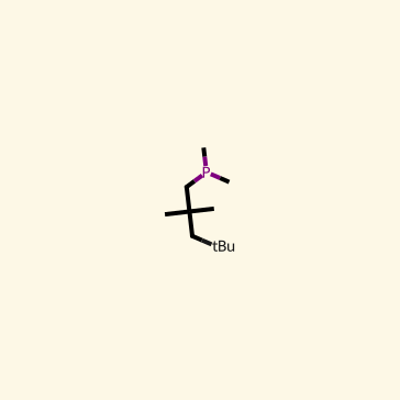 CP(C)CC(C)(C)CC(C)(C)C